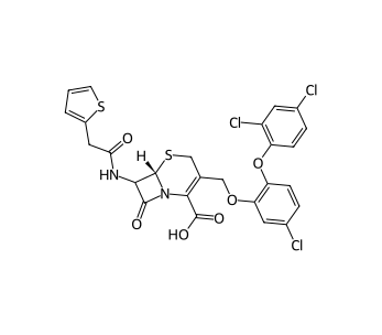 O=C(Cc1cccs1)NC1C(=O)N2C(C(=O)O)=C(COc3cc(Cl)ccc3Oc3ccc(Cl)cc3Cl)CS[C@@H]12